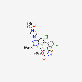 CSc1nc(N2CCN(C(=O)OC(C)(C)C)CC2)c2cc(Cl)c(-c3ccc(F)c4sc(NC(=O)OC(C)(C)C)c(C#N)c34)c(F)c2n1